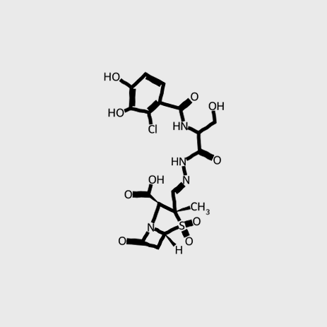 C[C@]1(/C=N/NC(=O)C(CO)NC(=O)c2ccc(O)c(O)c2Cl)[C@H](C(=O)O)N2C(=O)C[C@H]2S1(=O)=O